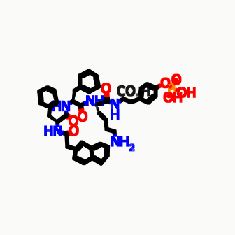 NCCCC[C@H](NC(=O)[C@H](Cc1ccccc1)NC(=O)[C@H](Cc1ccccc1)NC(=O)Cc1ccc2ccccc2c1)C(=O)N[C@@H](Cc1ccc(OP(=O)(O)O)cc1)C(=O)O